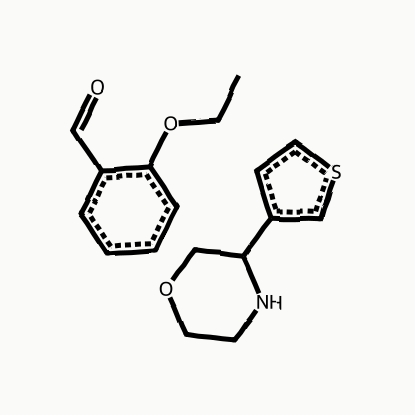 CCOc1ccccc1C=O.c1cc(C2COCCN2)cs1